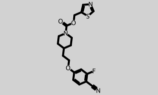 N#Cc1ccc(OCCC2CCN(C(=O)OCc3cncs3)CC2)cc1F